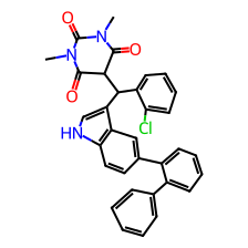 CN1C(=O)C(C(c2ccccc2Cl)c2c[nH]c3ccc(-c4ccccc4-c4ccccc4)cc23)C(=O)N(C)C1=O